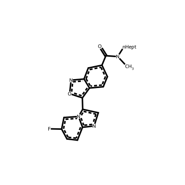 CCCCCCCN(C)C(=O)c1ccc2c(-c3cnc4ccc(F)cn34)onc2c1